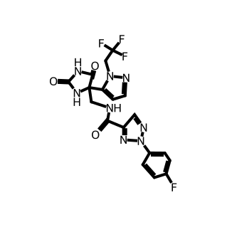 O=C1NC(=O)C(CNC(=O)c2cnn(-c3ccc(F)cc3)n2)(c2ccnn2CC(F)(F)F)N1